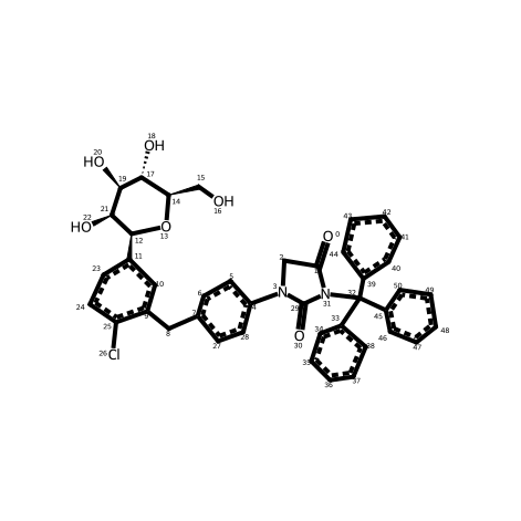 O=C1CN(c2ccc(Cc3cc([C@@H]4O[C@H](CO)[C@@H](O)[C@H](O)[C@@H]4O)ccc3Cl)cc2)C(=O)N1C(c1ccccc1)(c1ccccc1)c1ccccc1